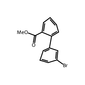 COC(=O)c1ccccc1-c1cccc(Br)c1